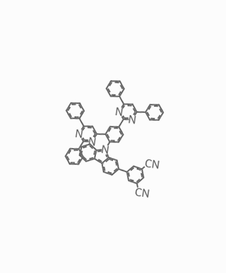 N#Cc1cc(C#N)cc(-c2ccc3c4ccccc4n(-c4ccc(-c5nc(-c6ccccc6)cc(-c6ccccc6)n5)cc4-c4cc(-c5ccccc5)nc(-c5ccccc5)n4)c3c2)c1